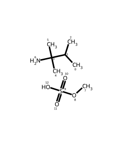 CC(C)C(C)(C)N.COS(=O)(=O)O